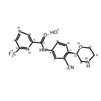 Cl.N#Cc1cc(NC(=O)c2cncc(C(F)(F)F)n2)ccc1[C@@H]1CNCCO1